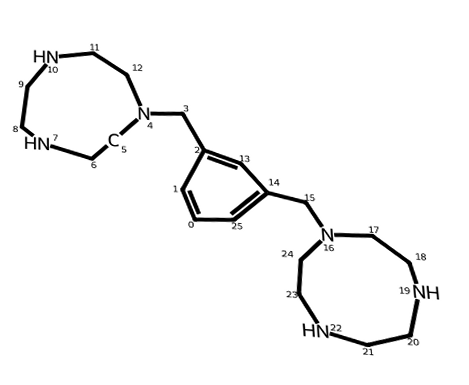 c1cc(CN2CCNCCNCC2)cc(CN2CCNCCNCC2)c1